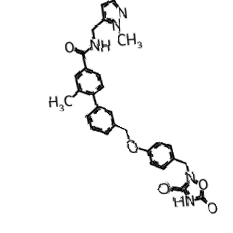 Cc1cc(C(=O)NCc2ccnn2C)ccc1-c1cccc(COc2ccc(Cn3oc(=O)[nH]c3=O)cc2)c1